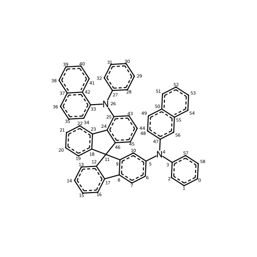 c1ccc(N(c2ccc3c(c2)C2(c4ccccc4-3)c3ccccc3-c3c(N(c4ccccc4)c4cccc5ccccc45)cccc32)c2ccc3ccccc3c2)cc1